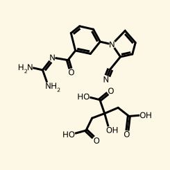 N#Cc1cccn1-c1cccc(C(=O)N=C(N)N)c1.O=C(O)CC(O)(CC(=O)O)C(=O)O